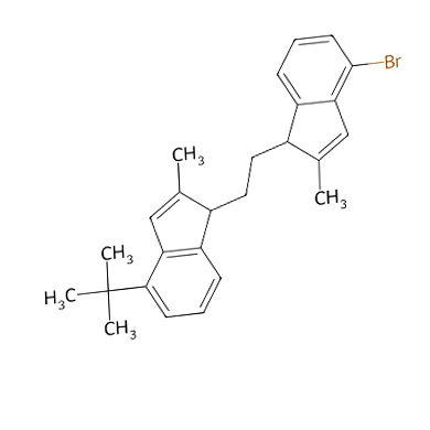 CC1=Cc2c(Br)cccc2C1CCC1C(C)=Cc2c1cccc2C(C)(C)C